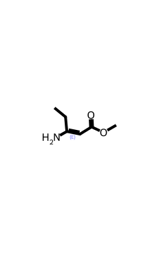 CC/C(N)=C\C(=O)OC